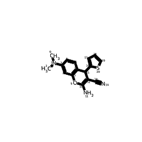 CN(C)c1ccc2c(c1)OC(N)=C(C#N)C2c1cccs1